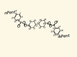 CCCCCc1ccc(C(=O)OOC2=CCC(C3CCC(OOC(=O)c4ccc(CCCCC)cc4)CC3)CC2)cc1